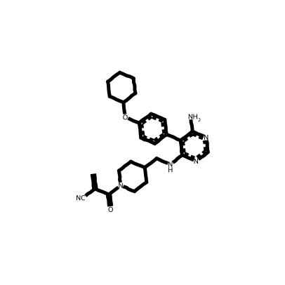 C=C(C#N)C(=O)N1CCC(CNc2ncnc(N)c2-c2ccc(OC3CCCCC3)cc2)CC1